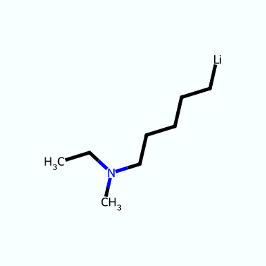 [Li][CH2]CCCCN(C)CC